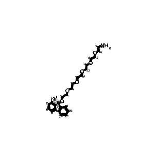 CC(C)(C)[Si](OCCOCCOCCOCCOCCOCCN)(c1ccccc1)c1ccccc1